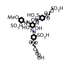 COc1ccc(/N=N/c2c(O)c(/N=N/c3ccc(S(=O)(=O)CCOSOOO)cc3S(=O)(=O)O)c(O)c(/N=N/c3ccc(S(=O)(=O)CCOS(=O)(=O)O)cc3S(=O)(=O)O)c2O)c(S(=O)(=O)O)c1